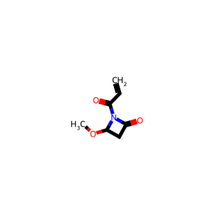 C=CC(=O)N1C(=O)CC1OC